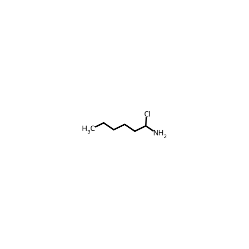 CCCCCC(N)Cl